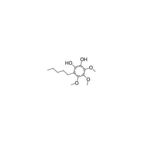 CCCCCc1c(O)c(O)c(OC)c(OC)c1OC